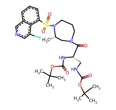 C[C@H]1CN(C(=O)[C@H](CNC(=O)OC(C)(C)C)NC(=O)OC(C)(C)C)CCCN1S(=O)(=O)c1cccc2cncc(F)c12